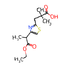 CCOC(=O)C(C)c1csc(CC(C)(C)C(=O)O)n1